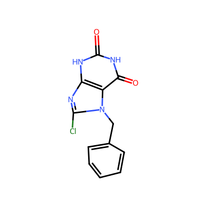 O=c1[nH]c(=O)c2c(nc(Cl)n2Cc2ccccc2)[nH]1